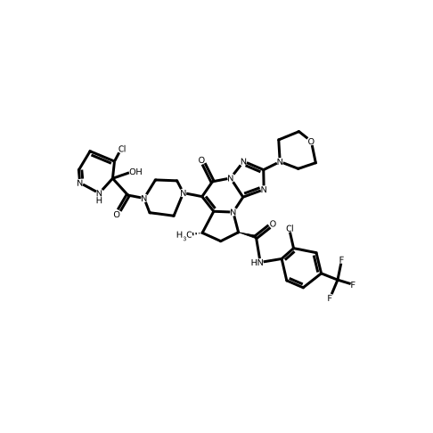 C[C@H]1C[C@H](C(=O)Nc2ccc(C(F)(F)F)cc2Cl)n2c1c(N1CCN(C(=O)C3(O)NN=CC=C3Cl)CC1)c(=O)n1nc(N3CCOCC3)nc21